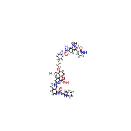 Cc1c(OCCCCC2CCN(CC(=O)Nc3ccc4c(C5CCCNC5=O)nn(C)c4c3)CC2)cccc1-c1ccc(N2CCc3cccc(C(=O)Nc4nc5ccccc5s4)c3C2)nc1C(=O)O